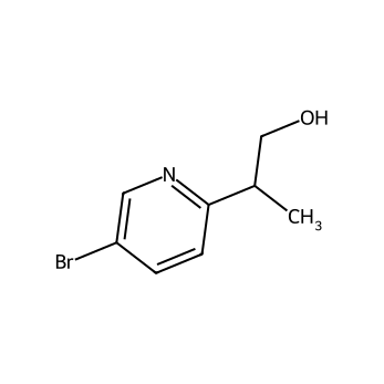 CC(CO)c1ccc(Br)cn1